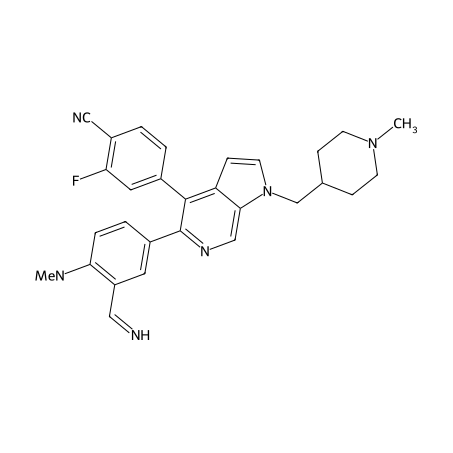 CNc1ccc(-c2ncc3c(ccn3CC3CCN(C)CC3)c2-c2ccc(C#N)c(F)c2)cc1C=N